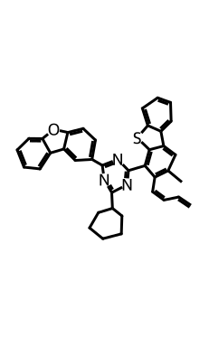 C=C/C=C\c1c(C)cc2c(sc3ccccc32)c1-c1nc(-c2ccc3oc4ccccc4c3c2)nc(C2CCCCC2)n1